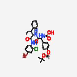 CCC(c1ccccc1)C(NC(=O)C(NC(=O)O)c1ccc(O[C@H](C)OC(C)(C)C)cc1)C(=O)Nc1ccc(Br)cc1Cl